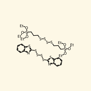 CCO[Si](CCCSSSSCCC[Si](OCC)(OCC)OCC)(OCC)OCC.c1ccc2sc(SSSSc3nc4ccccc4s3)nc2c1